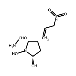 C=CC[SH](=O)=O.NC=O.O[C@@H]1CCCN1O